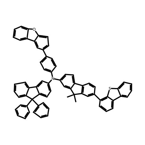 CC1(C)c2cc(-c3cccc4c3sc3ccccc34)ccc2-c2ccc(N(c3ccc(-c4ccc5oc6ccccc6c5c4)cc3)c3ccc4c(c3)-c3ccccc3C4(c3ccccc3)c3ccccc3)cc21